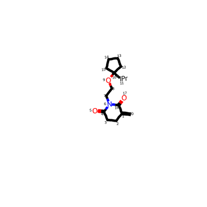 C=C1CCC(=O)N(CCOC2(C(C)C)CCCC2)C1=O